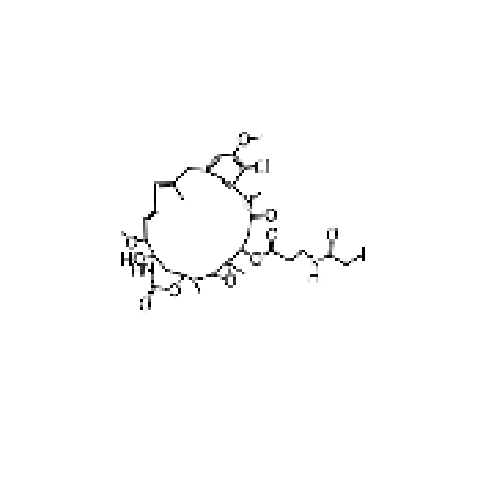 COc1cc2cc(c1Cl)N(C)C(=O)CC(OC(=O)CCNC(=O)CI)C1(C)OC1C(C)C1CC(O)(NC(=O)O1)C(OC)/C=C/C=C(\C)C2